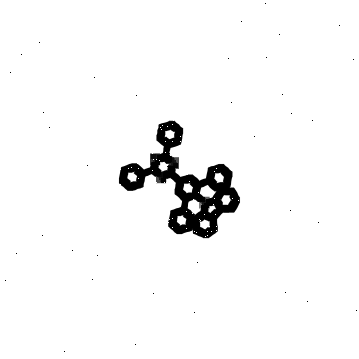 c1ccc(-c2nc(-c3ccccc3)nc(-c3cc(-c4ccccc4)c(-n4c5ccccc5c5ccccc54)c(-c4ccccc4)c3)n2)cc1